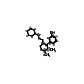 C[C@H]1CCN(CCOC2CCCCC2)C(c2cccc(O)c2)[C@@H]1C